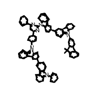 CC1(C)c2ccccc2-c2ccc(-n3c4ccccc4c4cc(-c5ccc6c(c5)c5ccccc5n6-c5nc(-c6ccccc6)cc(-c6ccc(-n7c8ccccc8c8cc(-c9ccc%10c(c9)c9ccccc9n%10-c9ccccc9)ccc87)cc6)n5)ccc43)cc21